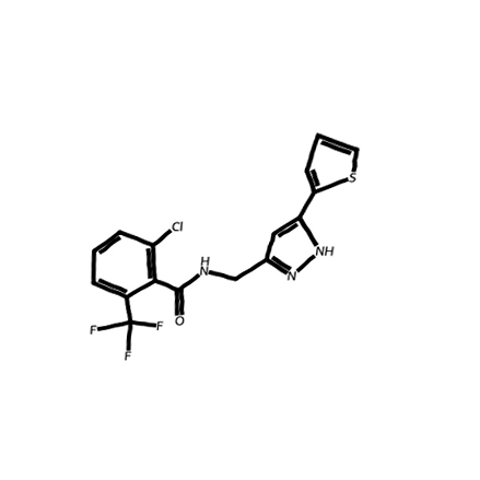 O=C(NCc1cc(-c2cccs2)[nH]n1)c1c(Cl)cccc1C(F)(F)F